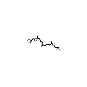 CC(CCCC(C)OCC1CO1)CCCC(C)OCC1CO1